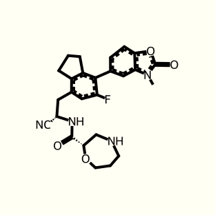 Cn1c(=O)oc2ccc(-c3c(F)cc(C[C@@H](C#N)NC(=O)[C@@H]4CNCCCO4)c4c3CCC4)cc21